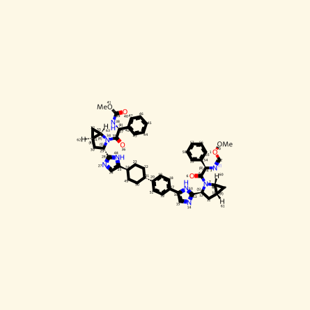 COO/C=N\[C@@H](C(=O)N1[C@@H]2C[C@@H]2C[C@H]1c1ncc(-c2ccc([C@H]3CC[C@H](c4cnc([C@@H]5C[C@H]6C[C@H]6N5C(=O)[C@H](NC(=O)OC)c5ccccc5)[nH]4)CC3)cc2)[nH]1)c1ccccc1